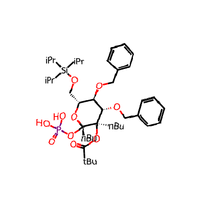 CCCC[C@@]1(OP(=O)(O)O)O[C@H](CO[Si](C(C)C)(C(C)C)C(C)C)[C@@H](OCc2ccccc2)[C@H](OCc2ccccc2)[C@@]1(CCCC)OC(=O)C(C)(C)C